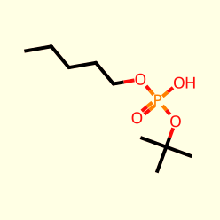 CCCCCOP(=O)(O)OC(C)(C)C